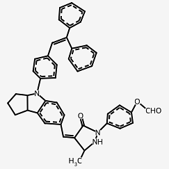 CC1NN(c2ccc(OC=O)cc2)C(=O)/C1=C\c1ccc2c(c1)C1CCCC1N2c1ccc(C=C(c2ccccc2)c2ccccc2)cc1